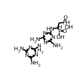 Nc1nc(N)nc(N)n1.Nc1nc(N)nc(NC(C[PH](=O)O)[PH](=O)O)n1